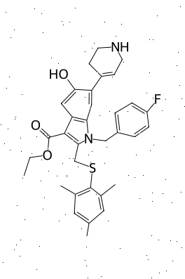 CCOC(=O)c1c(CSc2c(C)cc(C)cc2C)n(Cc2ccc(F)cc2)c2cc(C3=CCNCC3)c(O)cc12